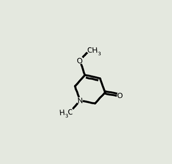 COC1=CC(=O)CN(C)C1